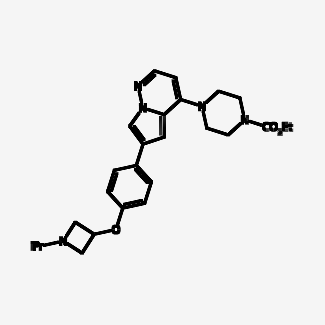 CCOC(=O)N1CCN(c2ccnn3cc(-c4ccc(OC5CN(C(C)C)C5)cc4)cc23)CC1